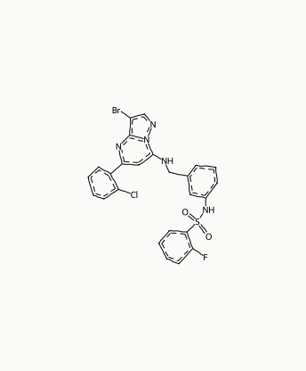 O=S(=O)(Nc1cccc(CNc2cc(-c3ccccc3Cl)nc3c(Br)cnn23)c1)c1ccccc1F